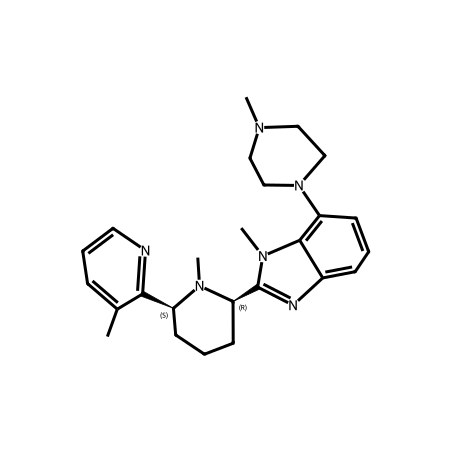 Cc1cccnc1[C@@H]1CCC[C@H](c2nc3cccc(N4CCN(C)CC4)c3n2C)N1C